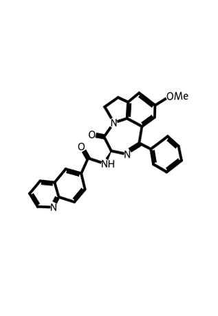 COc1cc2c3c(c1)C(c1ccccc1)=N[C@@H](NC(=O)c1ccc4ncccc4c1)C(=O)N3CC2